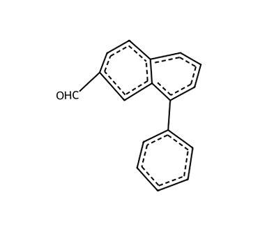 O=Cc1ccc2cccc(-c3ccccc3)c2c1